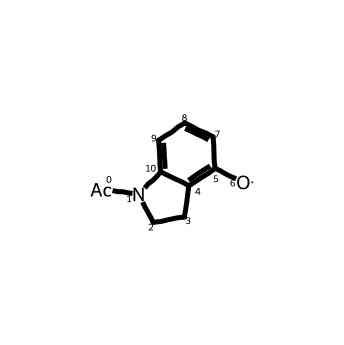 CC(=O)N1CCc2c([O])cccc21